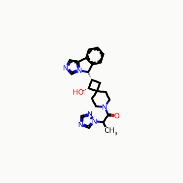 CC(C(=O)N1CCC2(CC1)C[C@@H](C1c3ccccc3-c3cncn31)[C@H]2O)n1cncn1